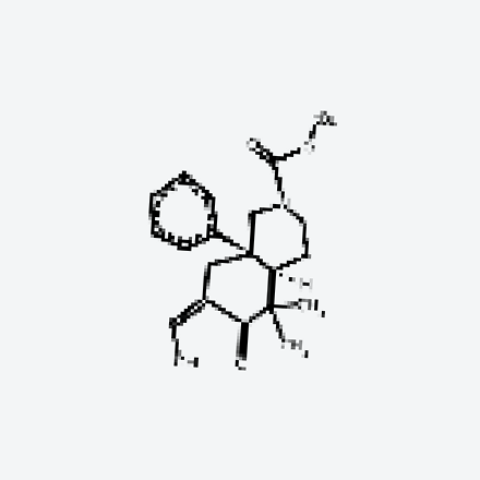 CC(C)(C)OC(=O)N1CC[C@H]2C(C)(C)C(=O)/C(=C\O)C[C@]2(c2ccccc2)C1